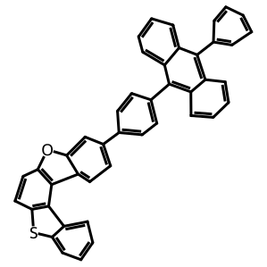 c1ccc(-c2c3ccccc3c(-c3ccc(-c4ccc5c(c4)oc4ccc6sc7ccccc7c6c45)cc3)c3ccccc23)cc1